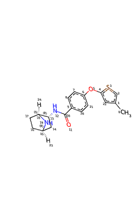 Cc1csc(Oc2ccc(C(=O)N[C@@H]3C[C@H]4CC[C@@H]3N4)cc2)c1